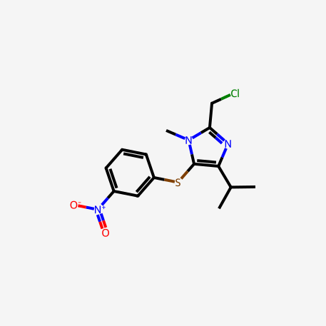 CC(C)c1nc(CCl)n(C)c1Sc1cccc([N+](=O)[O-])c1